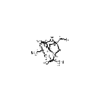 CC(C)(C)[C@]12C[C@@](CI)(CN1C(=O)O)OC2=O